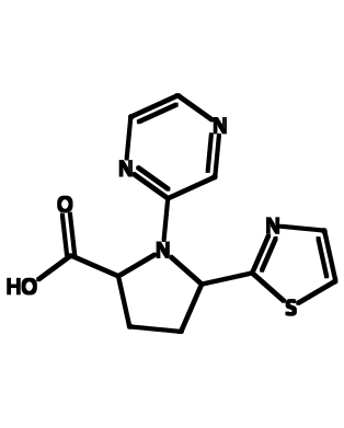 O=C(O)C1CCC(c2nccs2)N1c1cnccn1